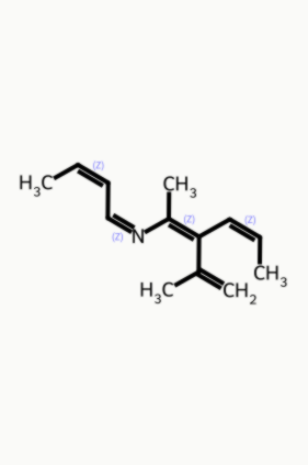 C=C(C)C(/C=C\C)=C(C)\N=C/C=C\C